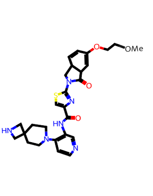 COCCOC1=CC2C(=O)N(c3nc(C(=O)Nc4cnccc4N4CCC5(CC4)CNC5)cs3)CC2C=C1